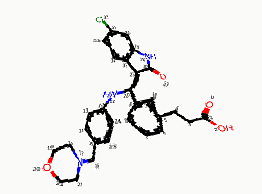 O=C(O)CCc1cccc(C(Nc2ccc(CN3CCOCC3)cc2)=C2C(=O)Nc3cc(Cl)ccc32)c1